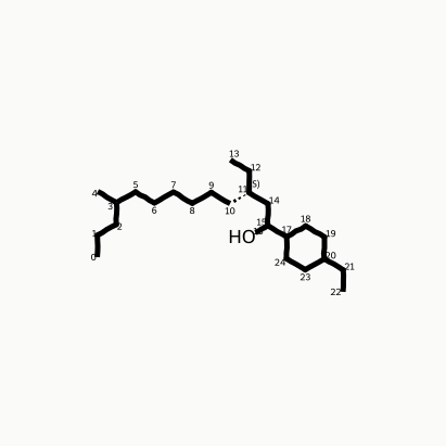 CCCC(C)CCCCCC[C@H](CC)CC(O)C1CCC(CC)CC1